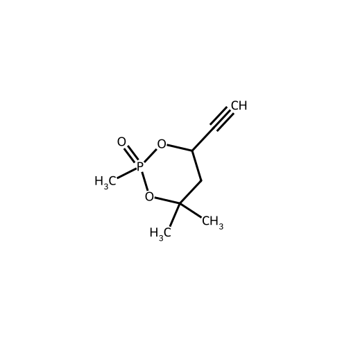 C#CC1CC(C)(C)OP(C)(=O)O1